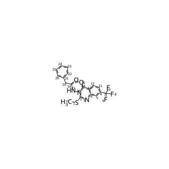 CSc1nc2cc(C(F)(F)F)ccc2c(=O)n1NC(=O)Cc1ccccc1